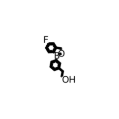 OCCc1cccc(B2OCc3cc(F)ccc32)c1